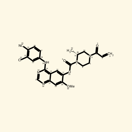 C=CC(=O)N1CCN(C(=O)Oc2cc3c(Nc4ccc(C#N)c(Cl)c4)ncnc3cc2OC)[C@H](C)C1